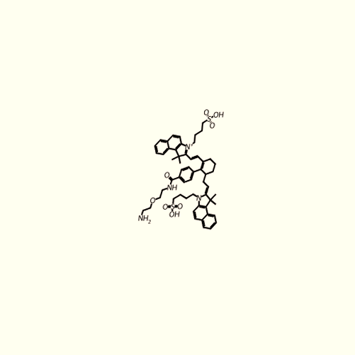 CC1(C)C(/C=C/C2=C(c3ccc(C(=O)NCCOCCN)cc3)C(C/C=C3\N(CCCCS(=O)(=O)O)c4ccc5ccccc5c4C3(C)C)CCC2)=[N+](CCCCS(=O)(=O)O)c2ccc3ccccc3c21